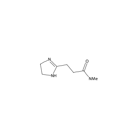 CNC(=O)CCC1=NCCN1